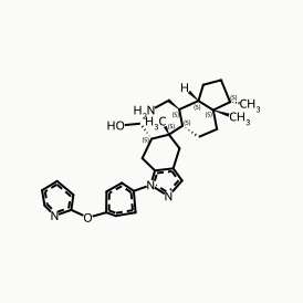 C[C@H]1CC[C@H]2[C@H](CN)[C@@H]([C@]3(C)Cc4cnn(-c5ccc(Oc6ccccn6)cc5)c4C[C@@H]3CO)CC[C@@]12C